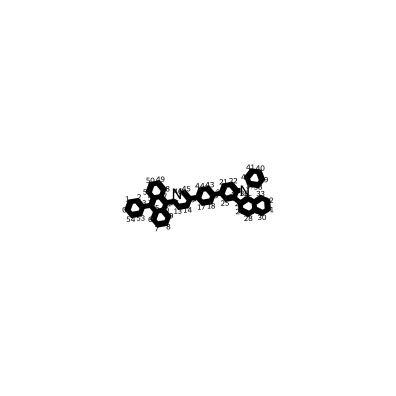 c1ccc(-c2c3ccccc3c(-c3ccc(-c4ccc(-c5ccc6c(c5)c5ccc7ccccc7c5n6-c5ccccc5)cc4)cn3)c3ccccc23)cc1